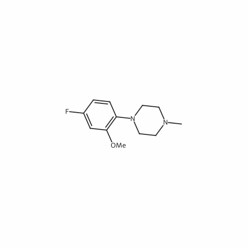 COc1cc(F)ccc1N1CCN(C)CC1